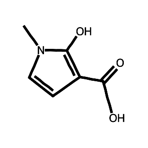 Cn1ccc(C(=O)O)c1O